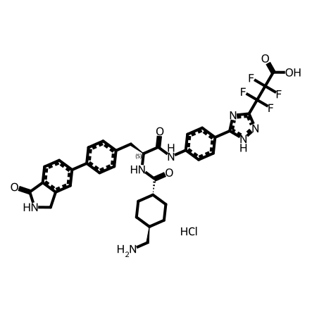 Cl.NC[C@H]1CC[C@H](C(=O)N[C@@H](Cc2ccc(-c3ccc4c(c3)CNC4=O)cc2)C(=O)Nc2ccc(-c3nc(C(F)(F)C(F)(F)C(=O)O)n[nH]3)cc2)CC1